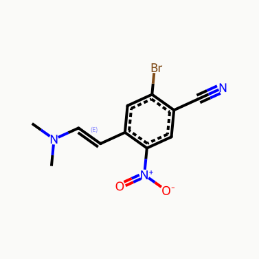 CN(C)/C=C/c1cc(Br)c(C#N)cc1[N+](=O)[O-]